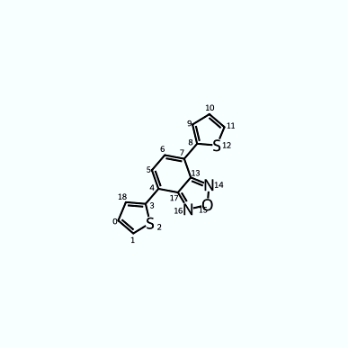 c1csc(-c2ccc(-c3cccs3)c3nonc23)c1